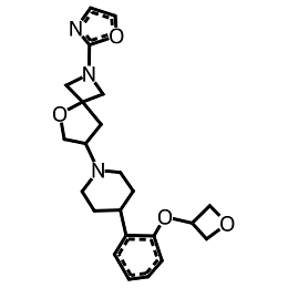 c1ccc(C2CCN(C3COC4(C3)CN(c3ncco3)C4)CC2)c(OC2COC2)c1